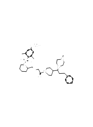 COc1cc(C)c(S(=O)(=O)N2CCCCC2COCC(=O)N2CCC(C(CCc3ccccc3)N3CCN(C)CC3)CC2)c(C)c1